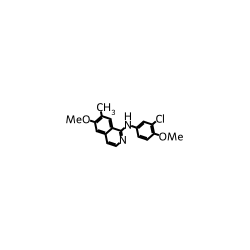 COc1cc2ccnc(Nc3ccc(OC)c(Cl)c3)c2cc1C